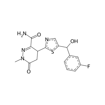 CN1N=C(C(N)=O)C(c2ncc(C(O)c3cccc(F)c3)s2)CC1=O